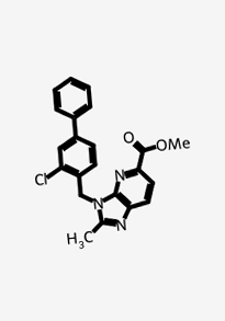 COC(=O)c1ccc2nc(C)n(Cc3ccc(-c4ccccc4)cc3Cl)c2n1